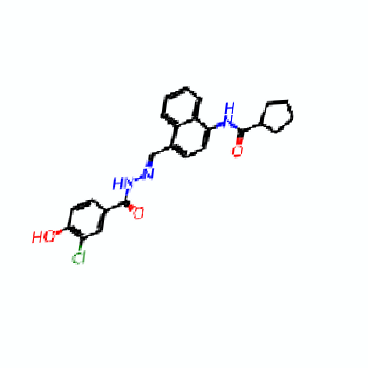 O=C(N/N=C/c1ccc(NC(=O)C2CCCC2)c2ccccc12)c1ccc(O)c(Cl)c1